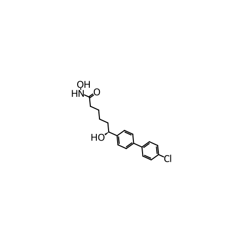 O=C(CCCC[C@H](O)c1ccc(-c2ccc(Cl)cc2)cc1)NO